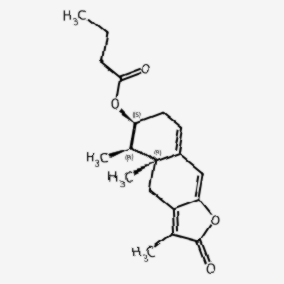 CCCC(=O)O[C@H]1CC=C2C=C3OC(=O)C(C)=C3C[C@]2(C)[C@H]1C